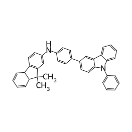 CC1(C)c2cc(Nc3ccc(-c4ccc5c(c4)c4ccccc4n5-c4ccccc4)cc3)ccc2C2C=CC=CC21